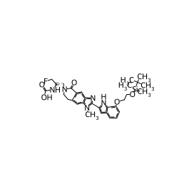 Cn1c(-c2cc3cccc(OCCO[Si](C)(C)C(C)(C)C)c3[nH]2)nc2cc3c(cc21)CCN(C[C@@H](CF)NC(=O)O)C3=O